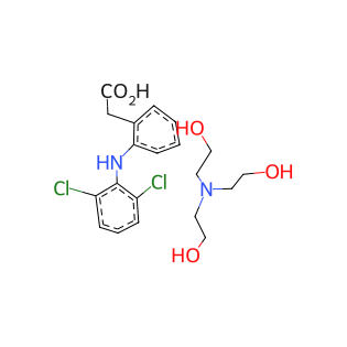 O=C(O)Cc1ccccc1Nc1c(Cl)cccc1Cl.OCCN(CCO)CCO